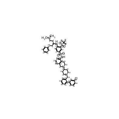 CN(C)CC[C@H](CSc1ccccc1)Nc1ccc(S(=O)(=O)Nc2ncnc3c2CCN(C2CCN(Cc4ccccc4-c4cccc(Cl)c4)CC2)C3)cc1S(=O)(=O)C(F)(F)F